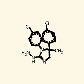 CC1(c2ccc(Cl)cc2)CN=C(NN)N1c1ccc(Cl)cc1